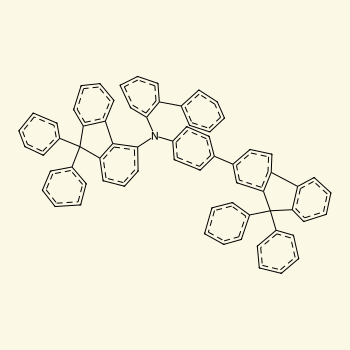 c1ccc(-c2ccccc2N(c2ccc(-c3ccc4c(c3)C(c3ccccc3)(c3ccccc3)c3ccccc3-4)cc2)c2cccc3c2-c2ccccc2C3(c2ccccc2)c2ccccc2)cc1